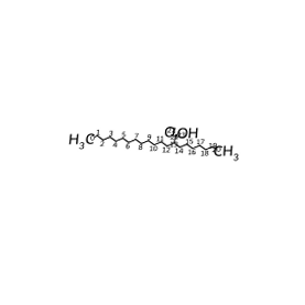 CCCCCCCCCCCCCC(CCCCCCC)C(=O)O